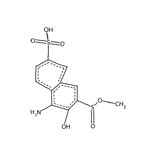 COS(=O)c1cc2cc(S(=O)(=O)O)ccc2c(N)c1O